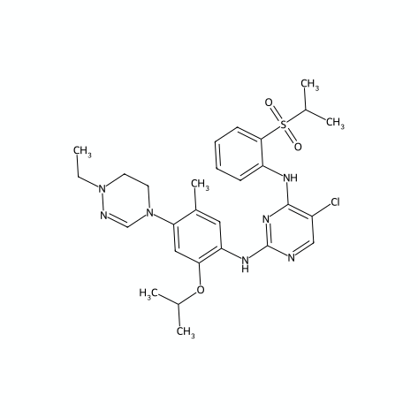 CCN1CCN(c2cc(OC(C)C)c(Nc3ncc(Cl)c(Nc4ccccc4S(=O)(=O)C(C)C)n3)cc2C)C=N1